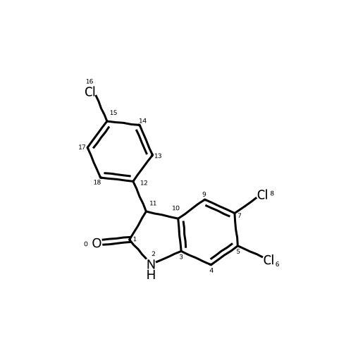 O=C1Nc2cc(Cl)c(Cl)cc2C1c1ccc(Cl)cc1